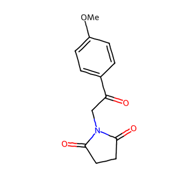 COc1ccc(C(=O)CN2C(=O)CCC2=O)cc1